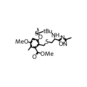 COC(=O)c1c(C)c(OC)cc(O[Si](C)(C)C(C)(C)C)c1CSC[C@H](N)c1nc(C)no1